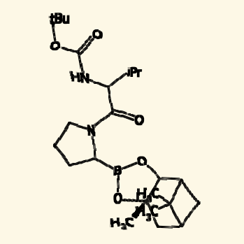 CC(C)C(NC(=O)OC(C)(C)C)C(=O)N1CCCC1B1OC2C3CC(C[C@]2(C)O1)C3(C)C